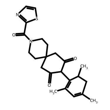 CC1=CC(C)=C(C2C(=O)CC3(CCN(C(=O)c4nccs4)CC3)CC2=O)C(C)C1